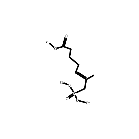 CCOP(=O)(CC(C)=CCCCC(=O)OC(C)C)OCC